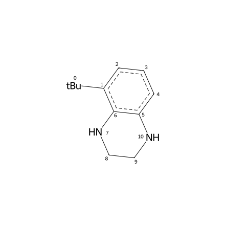 CC(C)(C)c1cccc2c1NCCN2